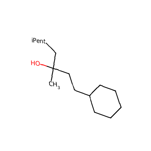 CCCC(C)CC(C)(O)CCC1CCCCC1